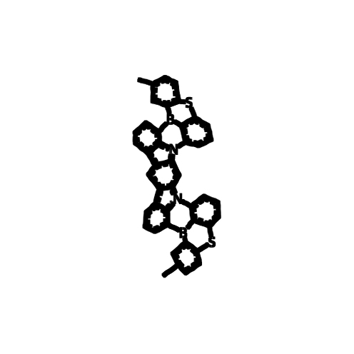 Cc1ccc2c(c1)B1c3c(cccc3-n3c4cc5c(cc4c4cccc1c43)c1cccc3c1n5-c1cccc4c1B3c1cc(C)ccc1S4)S2